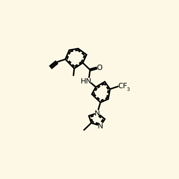 C#Cc1cccc(C(=O)Nc2cc(-n3cnc(C)c3)cc(C(F)(F)F)c2)c1C